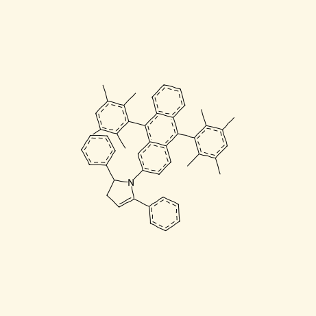 Cc1cc(C)c(C)c(-c2c3ccccc3c(-c3c(C)c(C)cc(C)c3C)c3cc(N4C(c5ccccc5)=CCC4c4ccccc4)ccc23)c1C